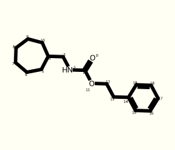 O=C(NCC1CC[CH]CCC1)OCCc1ccccc1